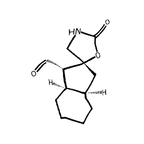 O=C[C@H]1[C@@H]2CCCC[C@@H]2C[C@]12CNC(=O)O2